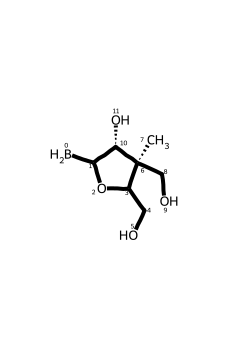 BC1OC(CO)[C@](C)(CO)[C@H]1O